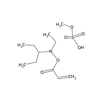 C=CC(=O)ON(CC)C(CC)CC.COS(=O)(=O)O